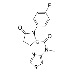 CN(C(=O)[C@@H]1CCC(=O)N1c1ccc(F)cc1)c1cscn1